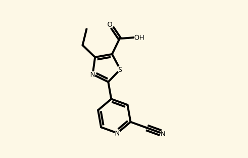 CCc1nc(-c2ccnc(C#N)c2)sc1C(=O)O